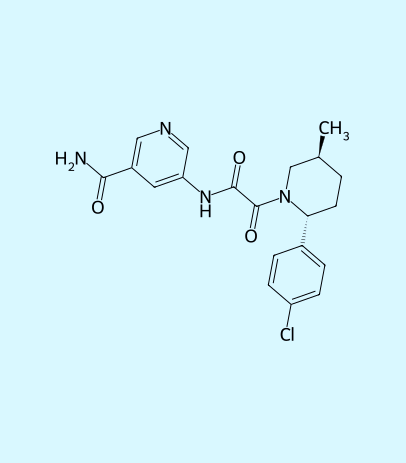 C[C@H]1CC[C@H](c2ccc(Cl)cc2)N(C(=O)C(=O)Nc2cncc(C(N)=O)c2)C1